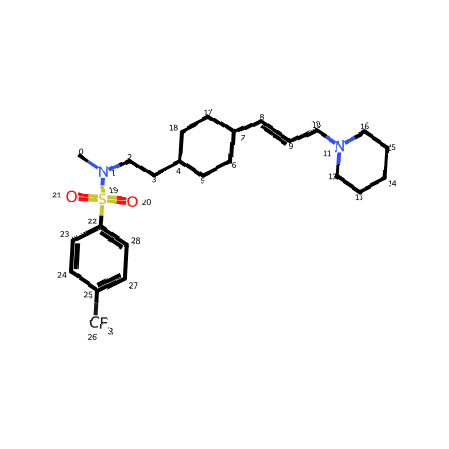 CN(CCC1CCC(/C=C/CN2CCCCC2)CC1)S(=O)(=O)c1ccc(C(F)(F)F)cc1